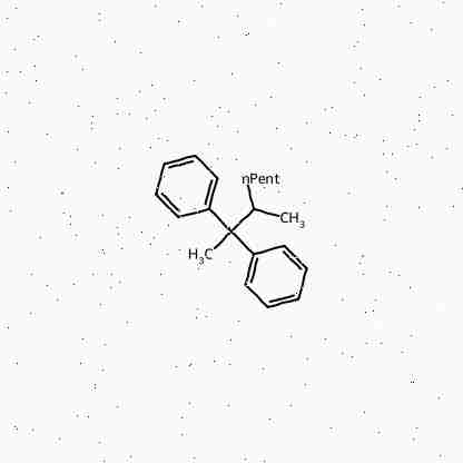 CCCCCC(C)C(C)(c1ccccc1)c1ccccc1